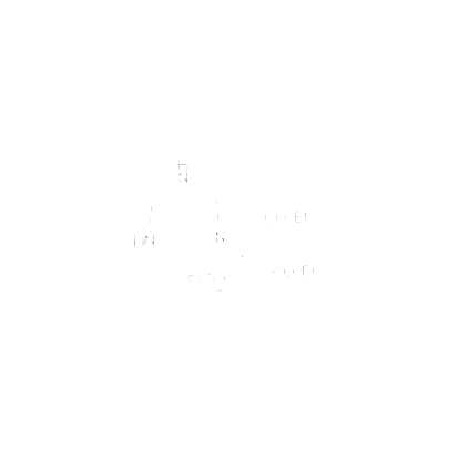 CCOC(=O)C(C(=O)OCC)(C(=O)OCC)N1CNCNC1